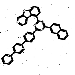 c1ccc(-c2ccc(-c3ccc(-c4nc(-c5ccc6ccccc6c5)nc(-c5cccc6oc7cnccc7c56)n4)cc3)cc2)cc1